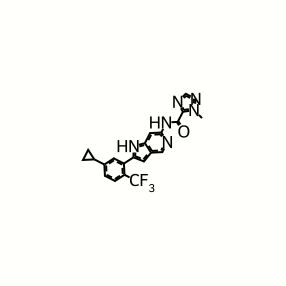 Cn1ncnc1C(=O)Nc1cc2[nH]c(-c3cc(C4CC4)ccc3C(F)(F)F)cc2cn1